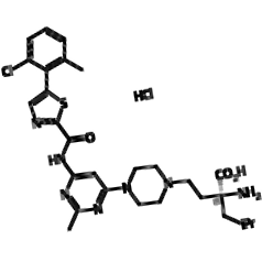 Cc1nc(NC(=O)c2ncc(-c3c(C)cccc3Cl)s2)cc(N2CCN(CC[C@@](N)(CC(C)C)C(=O)O)CC2)n1.Cl